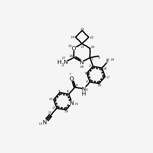 CC1(c2cc(NC(=O)c3ccc(C#N)cn3)ccc2F)CC2(CCC2)OC(N)=N1